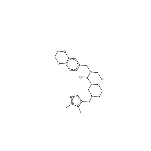 Cc1c(CN2CCOC(C(=O)N(Cc3ccc4c(c3)OCCO4)CC(C)C)C2)cnn1C